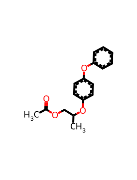 CC(=O)OCC(C)Oc1ccc(Oc2ccccc2)cc1